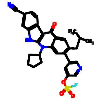 CC(C)Cc1cc2c(=O)c3c4ccc(C#N)cc4[nH]c3n(C3CCCC3)c2cc1-c1cncc(OS(=O)(=O)F)c1